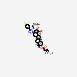 CNCCn1c(-c2ccc(F)cc2)nnc1[C@@]12CC[C@]3(C)[C@H](CC[C@@H]4[C@@]5(C)CC[C@H](OC(=O)CC(C)(C)C(=O)O)C(C)(C)[C@@H]5CC[C@]43C)C1=C(C(C)C)C(=O)C2